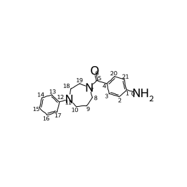 Nc1ccc(C(=O)N2CCCN(c3ccccc3)CC2)cc1